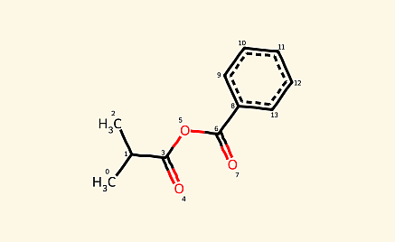 CC(C)C(=O)OC(=O)c1ccccc1